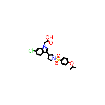 CC(C)Oc1ccc(S(=O)(=O)N2CCC(c3cn(CC(=O)O)c4cc(Cl)ccc34)C2)cc1